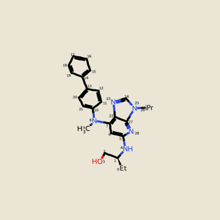 CC[C@@H](CO)Nc1cc(N(C)c2ccc(-c3ccccc3)cc2)c2ncn(C(C)C)c2n1